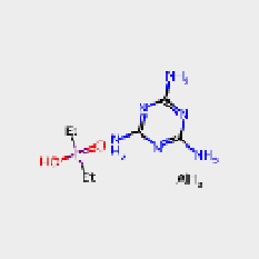 CCP(=O)(O)CC.Nc1nc(N)nc(N)n1.[AlH3]